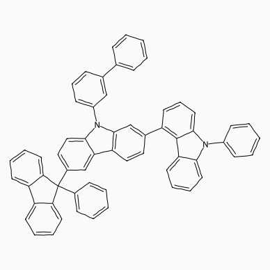 c1ccc(-c2cccc(-n3c4ccc(C5(c6ccccc6)c6ccccc6-c6ccccc65)cc4c4ccc(-c5cccc6c5c5ccccc5n6-c5ccccc5)cc43)c2)cc1